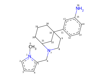 Cn1cccc1CN1CCC2(c3cccc(N)c3)CCCC1C2